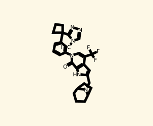 Cn1cnnc1C1(c2cccc(-n3cc(C(F)(F)F)c4cc(CN5C6CCCC5CC6)[nH]c4c3=O)c2)CCC1